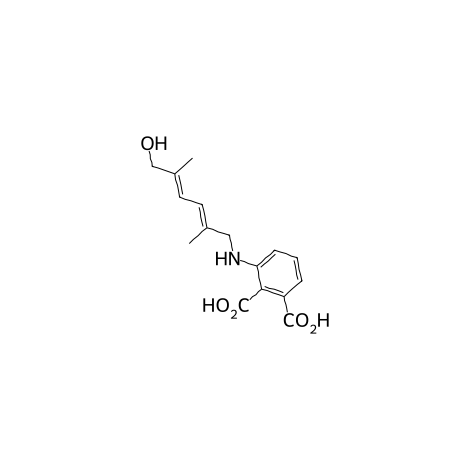 C/C(=C\C=C(/C)CNc1cccc(C(=O)O)c1C(=O)O)CO